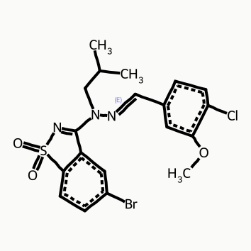 COc1cc(/C=N/N(CC(C)C)C2=NS(=O)(=O)c3ccc(Br)cc32)ccc1Cl